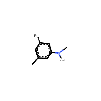 CC(=O)N(C)c1cc(C)cc(C(C)C)c1